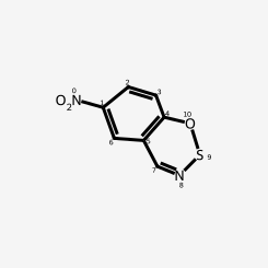 O=[N+]([O-])c1ccc2c(c1)C=NSO2